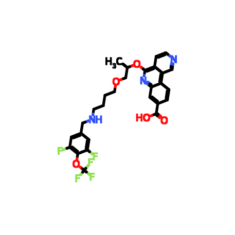 CC(COCCCCNCc1cc(F)c(OC(F)(F)F)c(F)c1)Oc1nc2cc(C(=O)O)ccc2c2cnccc12